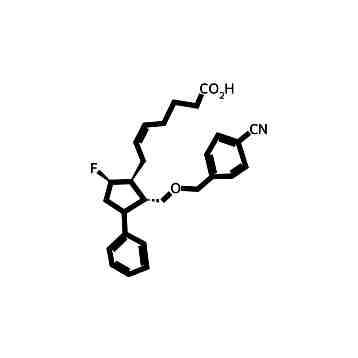 N#Cc1ccc(COC[C@@H]2C(c3ccccc3)C[C@@H](F)[C@H]2C/C=C\CCCC(=O)O)cc1